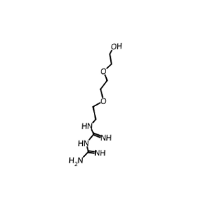 N=C(N)NC(=N)NCCOCCOCCO